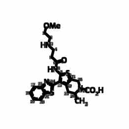 COCCNCCC(=O)Nc1sc2c(c1-c1nc3ccccc3s1)CC(C)N(C(=O)O)C2